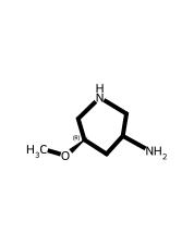 CO[C@H]1CNCC(N)C1